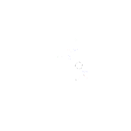 CC(C)OC(=O)Nc1ccc(COP(=O)(NCCBr)NCCBr)cc1